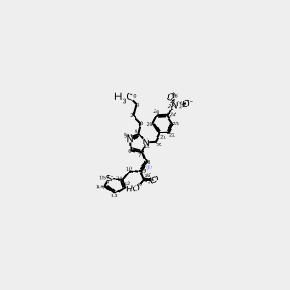 CCCCc1ncc(/C=C(\Cc2cccs2)C(=O)O)n1Cc1ccc([N+](=O)[O-])cc1